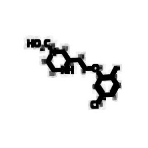 Cc1ccc(Cl)cc1OCCC1CN(C(=O)O)CCN1